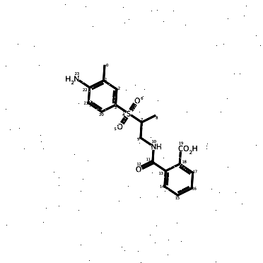 Cc1cc(S(=O)(=O)C(C)CNC(=O)c2ccccc2C(=O)O)ccc1N